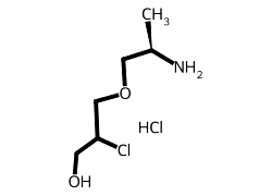 C[C@@H](N)COCC(Cl)CO.Cl